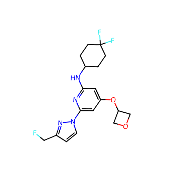 FCc1ccn(-c2cc(OC3COC3)cc(NC3CCC(F)(F)CC3)n2)n1